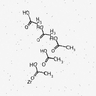 CC(=O)O.CC(=O)O.CC(=O)O.CC(=O)O.CC(=O)O.[Zr]